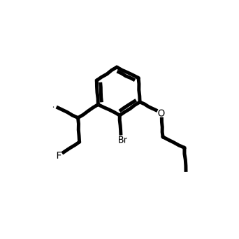 [CH2]C(CF)c1cccc(OCCC)c1Br